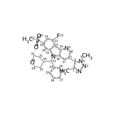 Cc1nnn(C)c1-c1cnc2c3c(F)cc(S(C)(=O)=O)cc3n(C(c3ccccc3)C3CCOCC3)c2c1